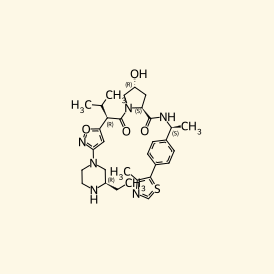 CC[C@@H]1CN(c2cc([C@H](C(=O)N3C[C@H](O)C[C@H]3C(=O)N[C@@H](C)c3ccc(-c4scnc4C)cc3)C(C)C)on2)CCN1